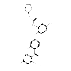 Cc1cc(F)ccc1C(=O)c1ccc(Nc2ccc(Br)cc2NC(=O)OC2CCCC2)cc1Cl